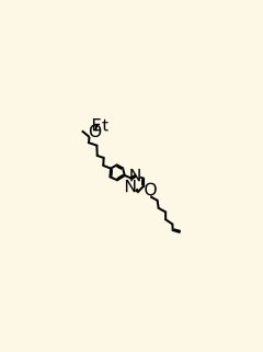 C=CCCCCCCOc1cnc(-c2ccc(CCCCCC(C)OCC)cc2)nc1